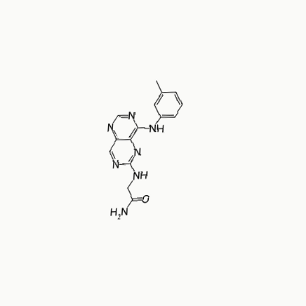 Cc1cccc(Nc2ncnc3cnc(NCC(N)=O)nc23)c1